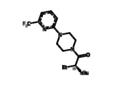 CCCC[C@@H](CC)C(=O)N1CCN(c2cccc(C(F)(F)F)n2)CC1